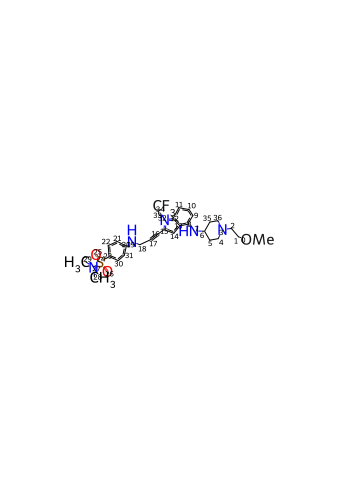 COCCN1CCC(Nc2cccc3c2cc(C#CCNc2ccc(S(=O)(=O)N(C)C)cc2)n3CC(F)(F)F)CC1